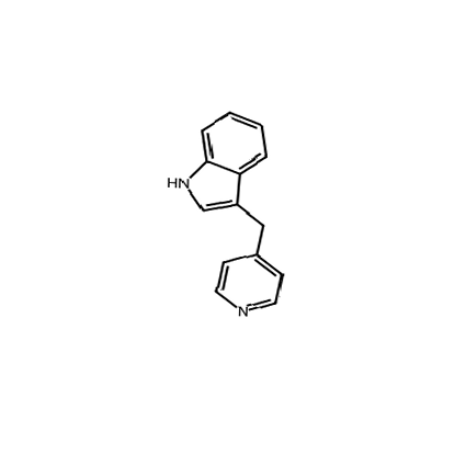 c1ccc2c(Cc3ccncc3)c[nH]c2c1